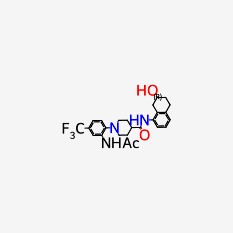 CC(=O)Nc1cc(C(F)(F)F)ccc1N1CCC(C(=O)Nc2cccc3c2C[C@H](O)CC3)CC1